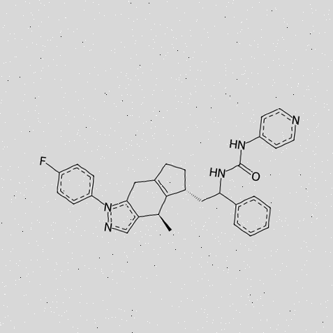 C[C@@H]1C2=C(CC[C@@H]2CC(NC(=O)Nc2ccncc2)c2ccccc2)Cc2c1cnn2-c1ccc(F)cc1